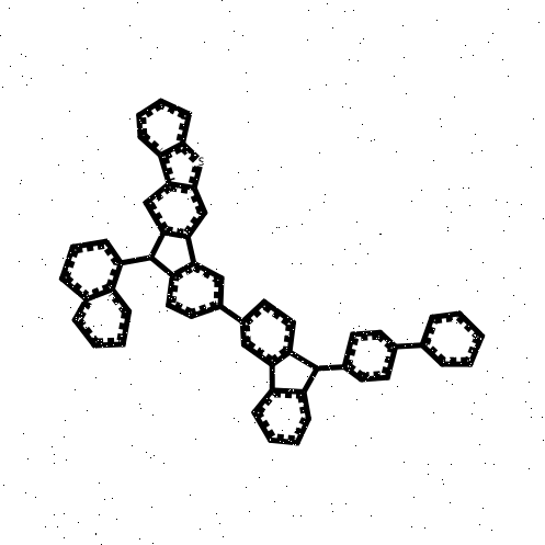 c1ccc(-c2ccc(C3c4ccccc4-c4cc(-c5ccc6c(c5)-c5cc7sc8ccccc8c7cc5C6c5cccc6ccccc56)ccc43)cc2)cc1